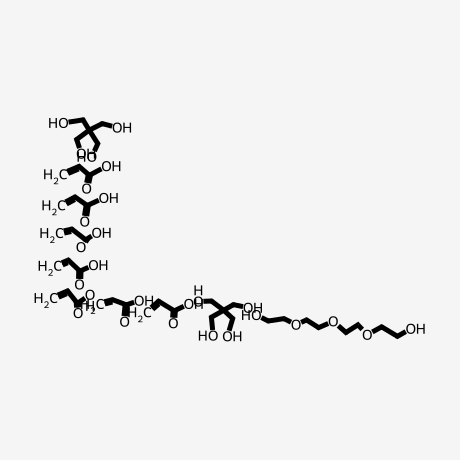 C=CC(=O)O.C=CC(=O)O.C=CC(=O)O.C=CC(=O)O.C=CC(=O)O.C=CC(=O)O.C=CC(=O)O.OCC(CO)(CO)CO.OCC(CO)(CO)CO.OCCOCCOCCOCCO